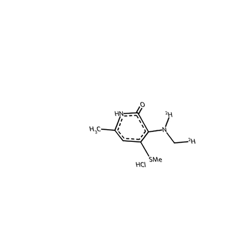 Cl.[2H]CN([2H])c1c(SC)cc(C)[nH]c1=O